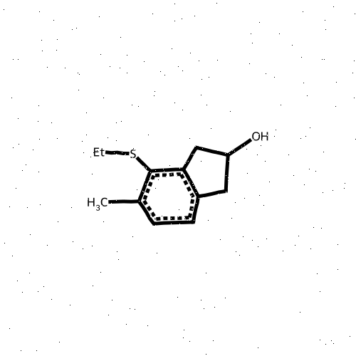 CCSc1c(C)ccc2c1CC(O)C2